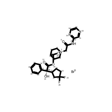 O=C(C[N+]12CCC(CC1)C(OC(=O)[C@](O)(c1ccccc1)C1CCC(F)(F)C1)C2)Nc1cnccn1.[Br-]